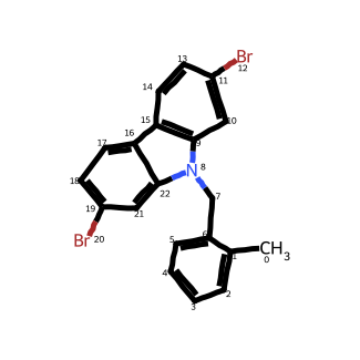 Cc1ccccc1Cn1c2cc(Br)ccc2c2ccc(Br)cc21